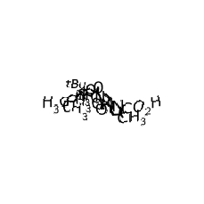 Cc1ccc(N2CCN(C(=O)c3cc4nc(C5CCC(C)(C)CC5)cc(C(C)(C)C)c4o3)C(C)(C)C2=O)nc1C(=O)O